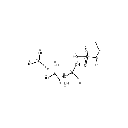 CCC(C)S(=O)(=O)O.OB(O)F.OB(O)F.OB(O)F.[LiH]